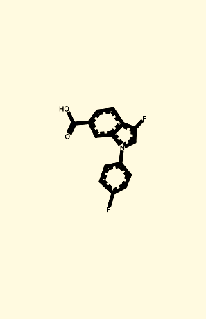 O=C(O)c1ccc2c(F)cn(-c3ccc(F)cc3)c2c1